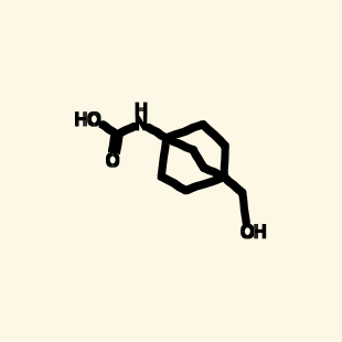 O=C(O)NC12CCC(CO)(CC1)CC2